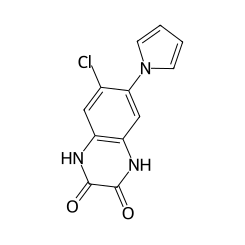 O=c1[nH]c2cc(Cl)c(-n3cccc3)cc2[nH]c1=O